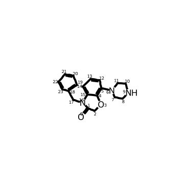 O=C1COc2c(N3CCNCC3)cccc2N1Cc1ccccc1